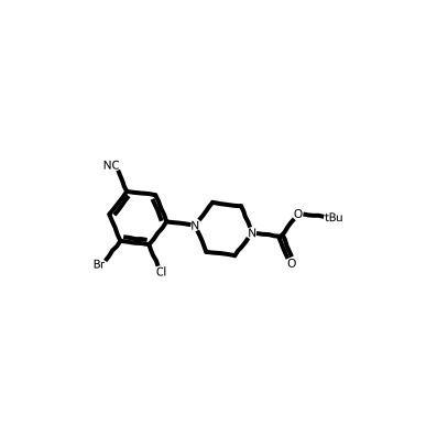 CC(C)(C)OC(=O)N1CCN(c2cc(C#N)cc(Br)c2Cl)CC1